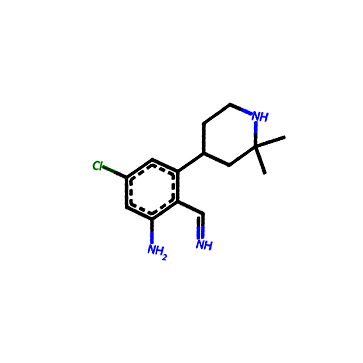 CC1(C)CC(c2cc(Cl)cc(N)c2C=N)CCN1